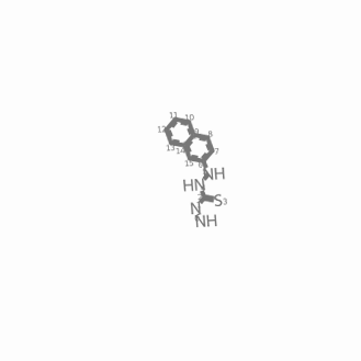 N=NC(=S)NNc1ccc2ccccc2c1